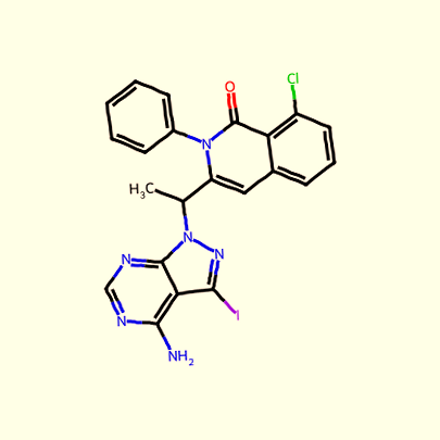 CC(c1cc2cccc(Cl)c2c(=O)n1-c1ccccc1)n1nc(I)c2c(N)ncnc21